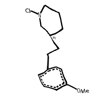 COc1cccc(CC[C@@H]2CCCN(Cl)C2)c1